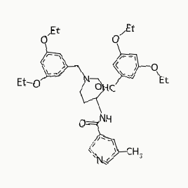 CCOc1cc(C=O)cc(OCC)c1.CCOc1cc(CN2CCC(NC(=O)c3cncc(C)c3)CC2)cc(OCC)c1